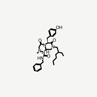 CCCCC(CC)CN1C[C@H]2N(C(=O)CN(C)N2C(=O)NCc2ccccc2)[C@@H](Cc2ccc(O)cc2)C1=O